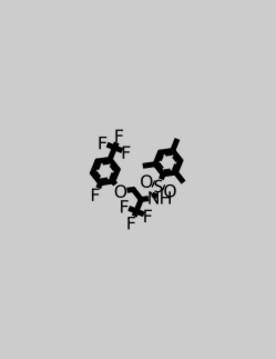 Cc1cc(C)c(S(=O)(=O)NC(COc2cc(C(F)(F)F)ccc2F)C(F)(F)F)c(C)c1